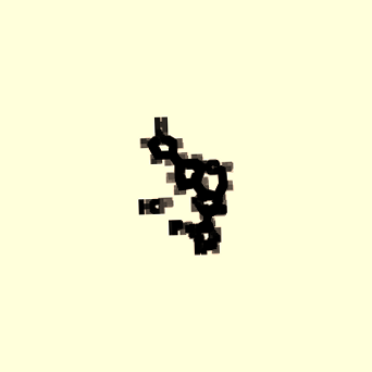 CC(C)n1ncnc1-c1nc2c(s1)CCOc1cc(C3CCNC3)ccc1-2.Cl